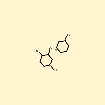 CC(C)N1CCC(O)C(O[C@H]2CCCN(C(C)C)C2)C1